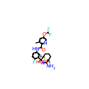 Cc1cc(OC(F)F)cnc1C(=O)Nc1ccc(F)c([C@@]2(C)N=C(N)[C@]3(C)CCC[C@H]2S3(O)O)c1